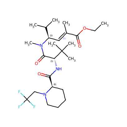 CCOC(=O)/C(C)=C/[C@H](C(C)C)N(C)C(=O)[C@@H](NC(=O)[C@H]1CCCCN1CC(F)(F)F)C(C)(C)C